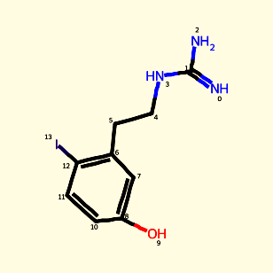 N=C(N)NCCc1cc(O)ccc1I